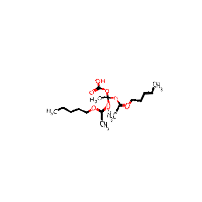 CCCCCOC(C)OC(C)(OC(=O)O)OC(C)OCCCCC